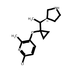 Cc1nc(Cl)ccc1OC1(C(C)[C@@H]2CCNC2)CC1